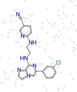 N#Cc1ccc(NCCNc2nc(-c3cccc(Cl)c3)cn3ccnc23)nc1